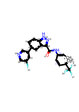 C=C(/C=C\C(=C/C)NC(=O)c1n[nH]c2ccc(-c3cncc(F)c3)cc12)C(F)(F)F